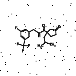 CC(C)CC1(C(=O)NCc2cc(F)cc(C(F)(F)F)c2)CCC(=O)C1